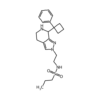 CCCS(=O)(=O)NCCn1cc2c(n1)C(C1(c3ccccc3)CCC1)NCC2